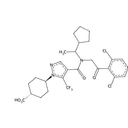 CC(C1CCCC1)N(CC(=O)c1c(Cl)cncc1Cl)C(=O)c1cnn([C@H]2CC[C@H](C(=O)O)CC2)c1C(F)(F)F